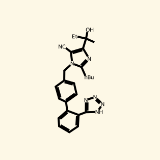 CCCCc1nc(C(C)(O)CC)c(C#N)n1Cc1ccc(-c2ccccc2-c2nnn[nH]2)cc1